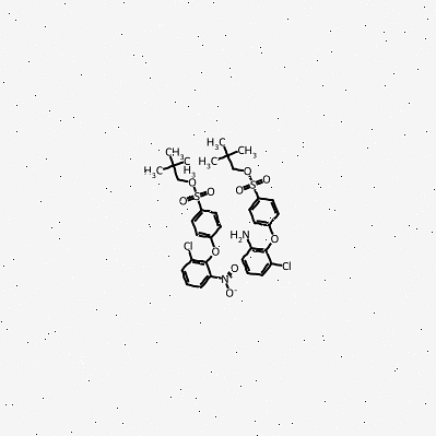 CC(C)(C)COS(=O)(=O)c1ccc(Oc2c(Cl)cccc2[N+](=O)[O-])cc1.CC(C)(C)COS(=O)(=O)c1ccc(Oc2c(N)cccc2Cl)cc1